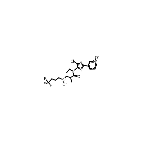 CCN(C(=O)C(C)C[S+]([O-])CCCC(F)(F)F)c1sc(-c2ccc[n+]([O-])c2)nc1Cl